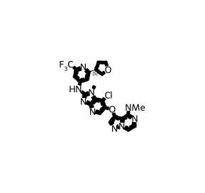 CNc1nccn2ncc(Oc3cnc4nc(Nc5cc([C@@H]6CCOC6)nc(C(F)(F)F)c5)n(C)c4c3Cl)c12